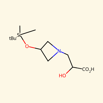 CC(C)(C)[Si](C)(C)OC1CN(CC(O)C(=O)O)C1